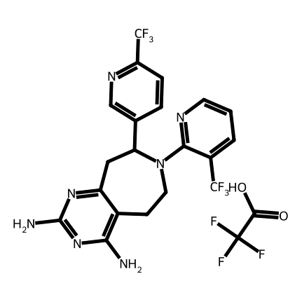 Nc1nc(N)c2c(n1)CC(c1ccc(C(F)(F)F)nc1)N(c1ncccc1C(F)(F)F)CC2.O=C(O)C(F)(F)F